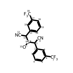 N#CC(c1cccc(C(F)(F)F)c1)[S+]([O-])C(C#N)c1cccc(C(F)(F)F)c1